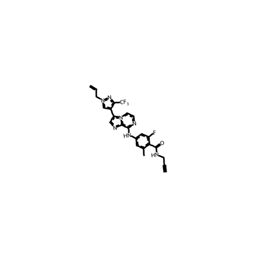 C#CCNC(=O)c1c(C)cc(Nc2nccn3c(-c4cn(CC=C)nc4C(F)(F)F)cnc23)cc1F